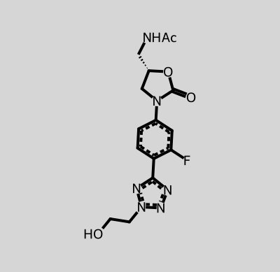 CC(=O)NC[C@H]1CN(c2ccc(-c3nnn(CCO)n3)c(F)c2)C(=O)O1